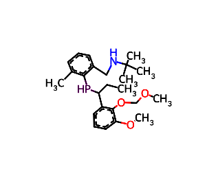 CCC(Pc1c(C)cccc1CNC(C)(C)C)c1cccc(OC)c1OCOC